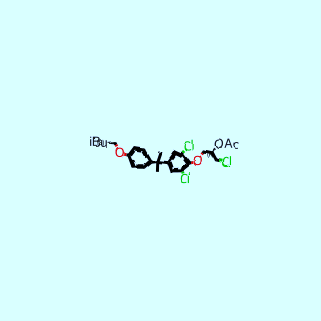 CC[C@H](C)COc1ccc(C(C)(C)c2cc(Cl)c(OC[C@H](CCl)OC(C)=O)c(Cl)c2)cc1